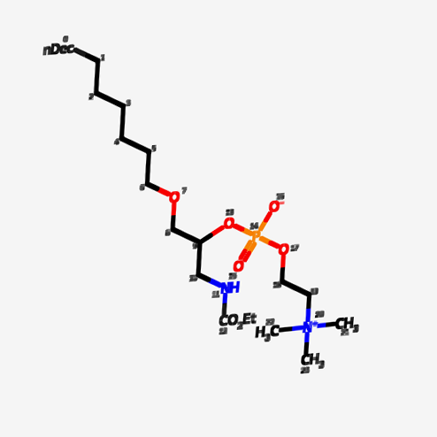 CCCCCCCCCCCCCCCCOCC(CNC(=O)OCC)OP(=O)([O-])OCC[N+](C)(C)C